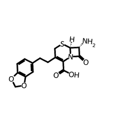 N[C@@H]1C(=O)N2C(C(=O)O)=C(CCc3ccc4c(c3)OCO4)CS[C@@H]12